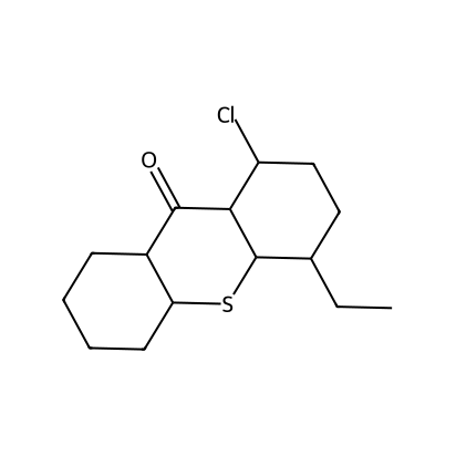 CCC1CCC(Cl)C2C(=O)C3CCCCC3SC12